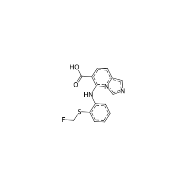 O=C(O)c1ccc2cncn2c1Nc1ccccc1SCF